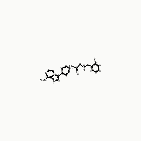 CNc1nccn2c(-c3ccc(NC(=O)CNCc4ccccc4F)cc3)cnc12